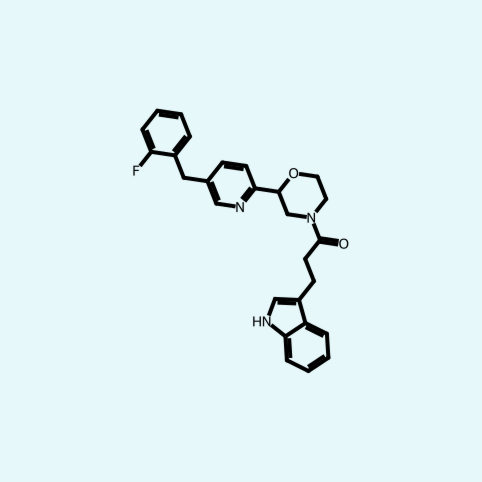 O=C(CCc1c[nH]c2ccccc12)N1CCOC(c2ccc(Cc3ccccc3F)cn2)C1